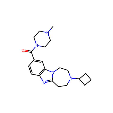 CN1CCN(C(=O)c2ccc3nc4n(c3c2)CCN(C2CCC2)CC4)CC1